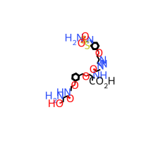 NC(CO)C(=O)NCCOc1cccc(COCC(NC(=O)CN2CC(COc3ccc4nc(S(N)(=O)=O)sc4c3)N=N2)C(=O)O)c1